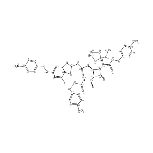 CC(=NC(=O)OCc1ccc([N+](=O)[O-])cc1)N1CCC(SC(=O)C[C@@H]2[C@@H]([C@@H](C)OC(=O)OCc3ccc([N+](=O)[O-])cc3)C(=O)N2C(C(=O)OCc2ccc([N+](=O)[O-])cc2)=P(OC(C)C)(OC(C)C)OC(C)C)C1